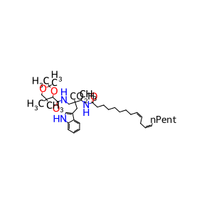 CCCCC/C=C\C/C=C\CCCCCCCC(=O)NC(C)C(CNC(=O)C1OC(C)(C)OCC1(C)C)(Cc1c[nH]c2ccccc12)C(=O)O